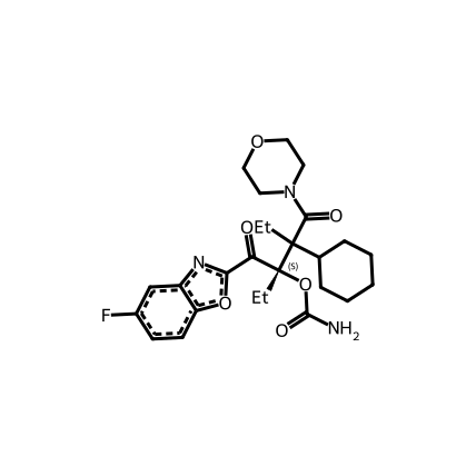 CCC(C(=O)N1CCOCC1)(C1CCCCC1)[C@](CC)(OC(N)=O)C(=O)c1nc2cc(F)ccc2o1